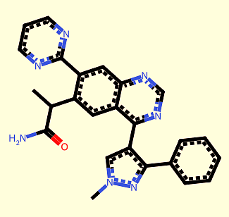 CC(C(N)=O)c1cc2c(-c3cn(C)nc3-c3ccccc3)ncnc2cc1-c1ncccn1